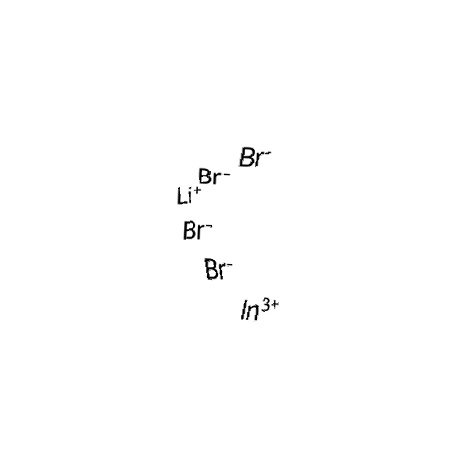 [Br-].[Br-].[Br-].[Br-].[In+3].[Li+]